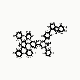 C1=C(c2ccc(-c3c(-c4ccccc4)c(-c4ccccc4)nc(-c4ccccc4)c3-c3ccccc3)cc2)NC(c2ccc(-c3cccc4c3sc3ccccc34)cc2)NC1c1ccccc1